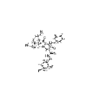 CC(C)CN1CC[C@H](C)N2C(=O)c3c(OCc4ccccc4)c(=O)c(C(=O)NCc4ccc(F)cc4F)cn3C[C@@H]12